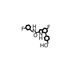 O=C(NCc1cccc(F)c1)c1cc2cc(F)cc(-c3ccc(CO)cc3)c2[nH]1